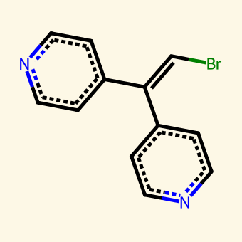 BrC=C(c1ccncc1)c1ccncc1